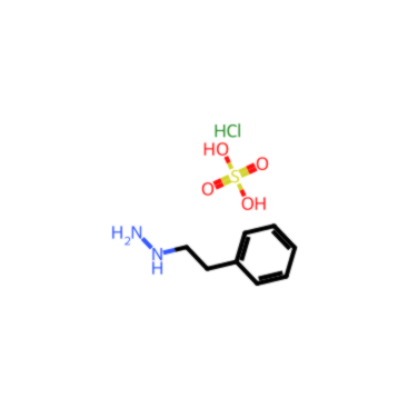 Cl.NNCCc1ccccc1.O=S(=O)(O)O